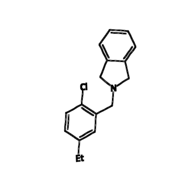 CCc1ccc(Cl)c(CN2Cc3ccccc3C2)c1